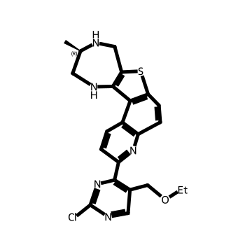 CCOCc1cnc(Cl)nc1-c1ccc2c(ccc3sc4c(c32)NC[C@@H](C)NC4)n1